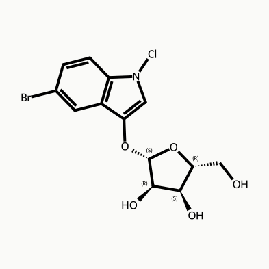 OC[C@H]1O[C@@H](Oc2cn(Cl)c3ccc(Br)cc23)[C@H](O)[C@@H]1O